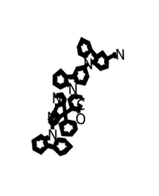 N#Cc1ccc2c(c1)c1ccccc1n2-c1ccc2c(c1)c1ccccc1n2-c1ccc2c(c1)C1(c3ccccc3O2)c2cccnc2-c2ncc(-n3c4ccccc4c4ccccc43)cc21